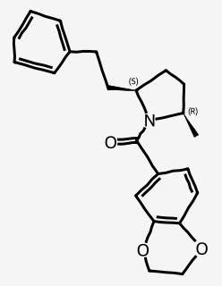 C[C@@H]1CC[C@H](CCc2ccccc2)N1C(=O)c1ccc2c(c1)OCCO2